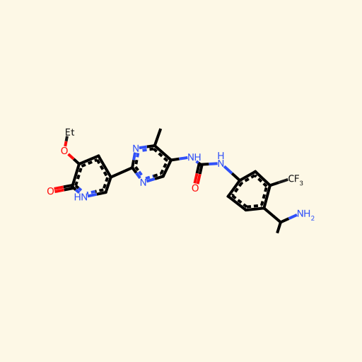 CCOc1cc(-c2ncc(NC(=O)Nc3ccc(C(C)N)c(C(F)(F)F)c3)c(C)n2)c[nH]c1=O